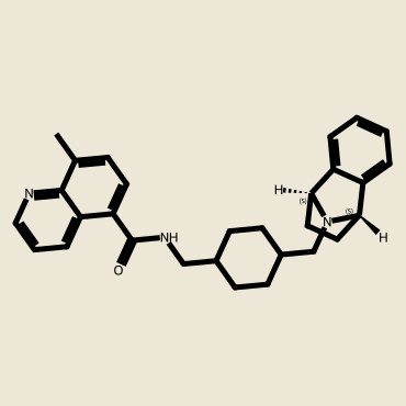 Cc1ccc(C(=O)NCC2CCC(CN3[C@H]4CC[C@H]3c3ccccc34)CC2)c2cccnc12